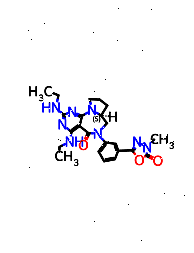 CCNc1nc(NCC)c2c(n1)N1CCC[C@H]1CN(c1cccc(-c3nn(C)c(=O)o3)c1)C2=O